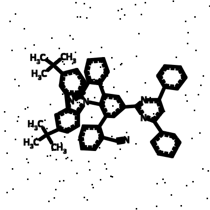 CC(C)(C)c1ccc2c(c1)c1cc(C(C)(C)C)ccc1n2-c1c(-c2ccccc2C#N)cc(-c2nc(-c3ccccc3)cc(-c3ccccc3)n2)cc1-c1ccccc1C#N